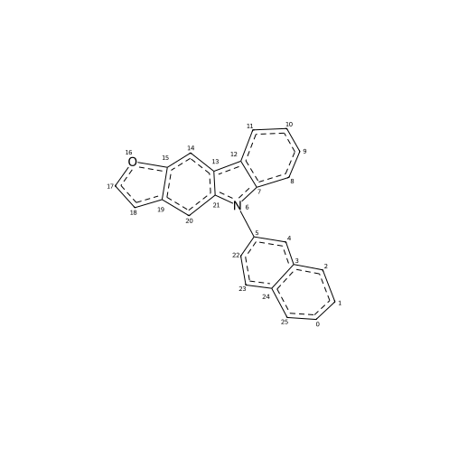 c1ccc2cc(-n3c4ccccc4c4cc5occc5cc43)ccc2c1